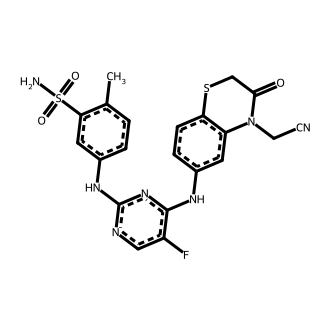 Cc1ccc(Nc2ncc(F)c(Nc3ccc4c(c3)N(CC#N)C(=O)CS4)n2)cc1S(N)(=O)=O